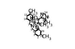 Cc1ccc(CN(Cc2ccc(C)cc2)S(=O)(=O)[C@@H](C)[C@@H](O)c2ncnn2C)cc1